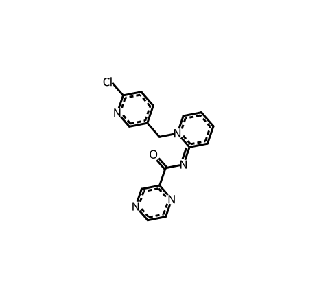 O=C(N=c1ccccn1Cc1ccc(Cl)nc1)c1cnccn1